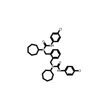 O=C(Nc1ccc(Cl)cc1)N(Cc1ccccc1CN(C(=O)Nc1ccc(Cl)cc1)C1CCCCCC1)C1CCCCCC1